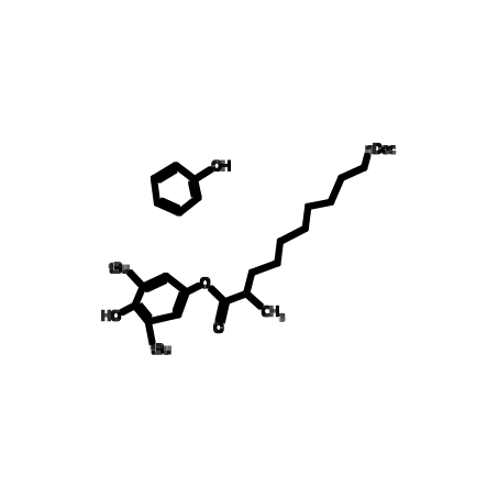 CCCCCCCCCCCCCCCCCCC(C)C(=O)Oc1cc(C(C)(C)C)c(O)c(C(C)(C)C)c1.Oc1ccccc1